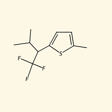 Cc1ccc(C(C(C)C)C(F)(F)F)s1